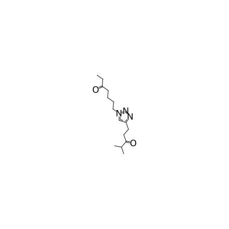 CCC(=O)CCCCn1cc(CCC(=O)C(C)C)nn1